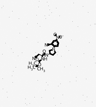 CC(C)(C)OC(=O)N[C@@H](CC#N)C(=O)N[C@H]1CCN(c2ccc([N+](=O)[O-])cc2C#N)C1